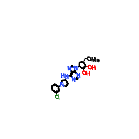 COC[C@H]1C[C@@H](n2cnc3c(N[C@H]4CCN(c5cccc(Cl)c5)C4)ncnc32)[C@H](O)[C@@H]1O